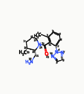 Cc1cccc(-n2nccn2)c1C(=O)N1CCC[C@@H](C)[C@H]1CN